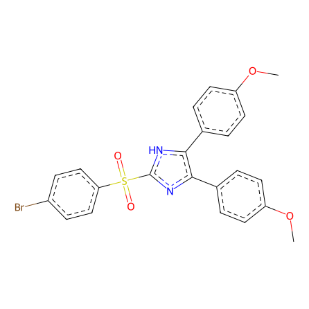 COc1ccc(-c2nc(S(=O)(=O)c3ccc(Br)cc3)[nH]c2-c2ccc(OC)cc2)cc1